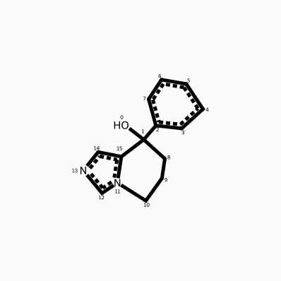 OC1(c2ccccc2)CCCn2cncc21